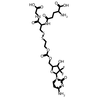 Nc1ccn(C2OC(COC(=O)OCCSSCC(NC(=O)CCC(N)C(=O)O)C(=O)NCC(=O)O)C(O)C2(F)F)c(=O)n1